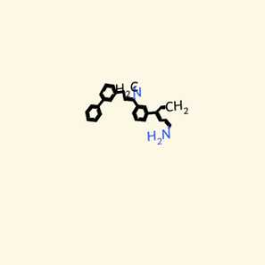 C=C/C(=C\C=C/N)c1cccc(/C(=C/Cc2cccc(-c3ccccc3)c2)N=C)c1